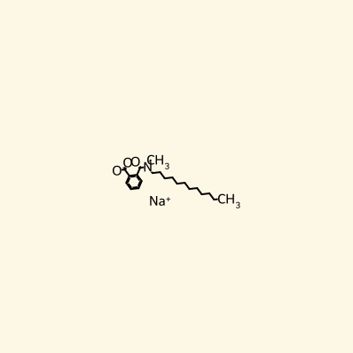 CCCCCCCCCCCCN(C)C(=O)c1ccccc1C(=O)[O-].[Na+]